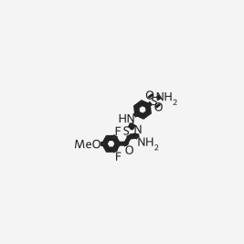 COc1cc(F)c(C(=O)c2sc(Nc3ccc(S(N)(=O)=O)cc3)nc2N)c(F)c1